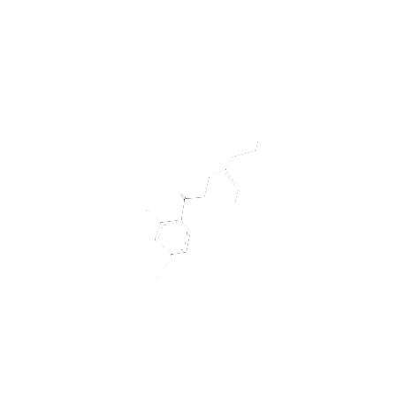 C=C(C[C@H](C)/C(=C\C)[C@H](C)CC)c1ccc(C)cc1Cl